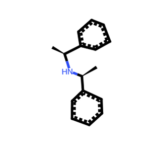 C[C@H](N[C@@H](C)c1ccccc1)c1ccccc1